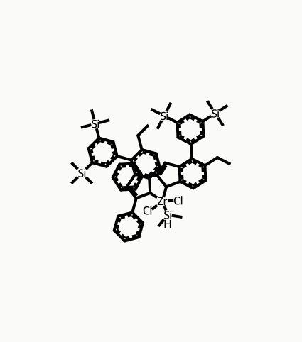 CCc1ccc2c(c1-c1cc([Si](C)(C)C)cc([Si](C)(C)C)c1)C=C(c1ccccc1)[CH]2[Zr]([Cl])([Cl])([CH]1C(c2ccccc2)=Cc2c1ccc(CC)c2-c1cc([Si](C)(C)C)cc([Si](C)(C)C)c1)[SiH](C)C